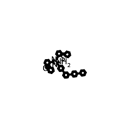 N/C(=N\C(=N/Cc1cccc2c1sc1ccccc12)c1cccc2oc3ccccc3c12)c1ccc(-c2cccc(-c3ccc(-c4ccccc4)cc3)c2)cc1